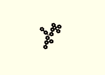 c1ccc(-c2ccc(N(c3ccc(-c4ccc(-c5ccccc5)cc4-c4ccccc4)cc3)c3cccc(-c4ccc5c(c4)c(-c4ccccc4)c(-c4ccccc4)c4ccccc45)c3)cc2)cc1